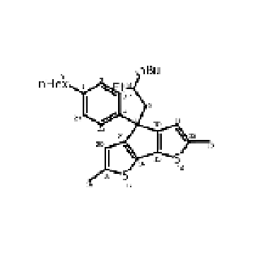 CCCCCCc1ccc(C2(CC(CC)CCCC)c3cc(C)sc3-c3sc(C)cc32)cc1